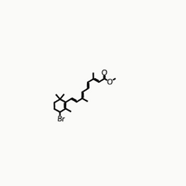 COC(=O)C=C(C)C=CC=C(C)C=CC1=C(C)C(Br)CCC1(C)C